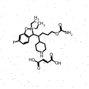 CC[N+]1(CC)Oc2cc(F)ccc2C1C(CCCOC(N)=O)C1CCNCC1.O=C(O)/C=C/C(=O)O